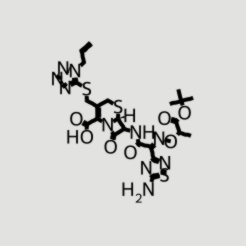 C=CCn1nnnc1SCC1=C(C(=O)O)N2C(=O)C(NC(=O)C(=NOC(C)C(=O)OC(C)(C)C)c3nsc(N)n3)[C@@H]2SC1